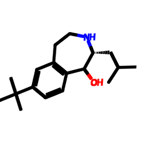 CC(C)C[C@H]1NCCc2cc(C(C)(C)C)ccc2C1O